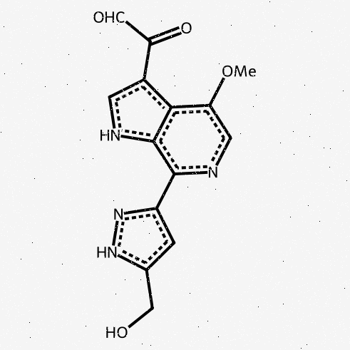 COc1cnc(-c2cc(CO)[nH]n2)c2[nH]cc(C(=O)C=O)c12